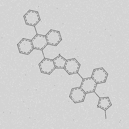 Cc1ccc(-c2c3ccccc3c(-c3ccc4sc5c(-c6c7ccccc7c(-c7ccccc7)c7ccccc67)cccc5c4c3)c3ccccc23)s1